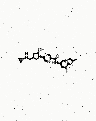 Cc1cn2cc(NC(=O)c3cnc(N4CC(CNC5CC5)CC4O)cn3)cc(F)c2n1